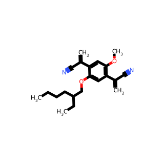 C=C(C#N)c1cc(OCC(CC)CCCC)c(C(=C)C#N)cc1OC